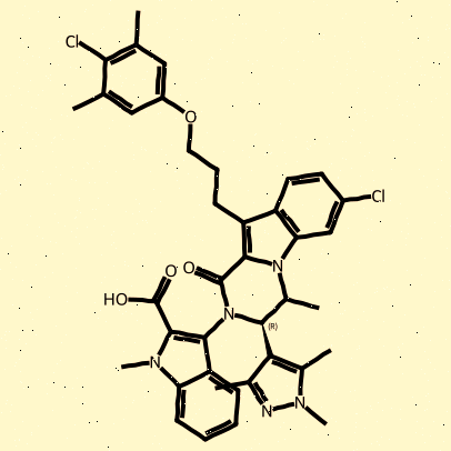 Cc1cc(OCCCc2c3n(c4cc(Cl)ccc24)C(C)[C@@H](c2c(C)nn(C)c2C)N(c2c(C(=O)O)n(C)c4ccccc24)C3=O)cc(C)c1Cl